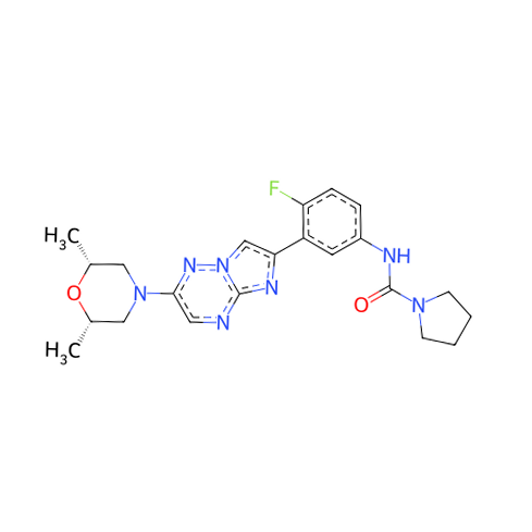 C[C@@H]1CN(c2cnc3nc(-c4cc(NC(=O)N5CCCC5)ccc4F)cn3n2)C[C@H](C)O1